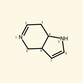 [CH]1N=CCC2NC=CC12